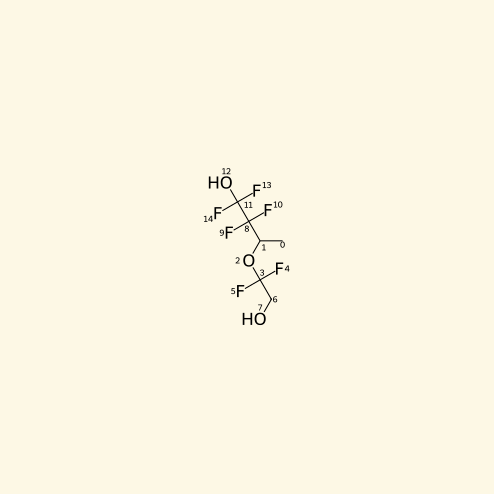 CC(OC(F)(F)CO)C(F)(F)C(O)(F)F